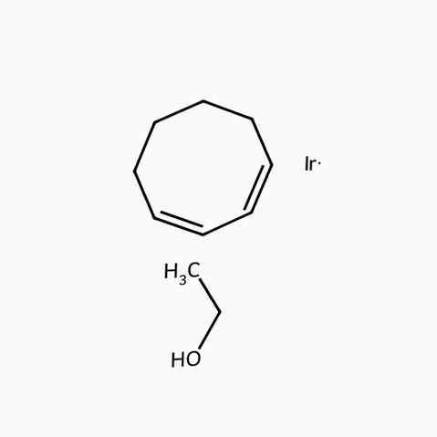 C1=CCCCCC=C1.CCO.[Ir]